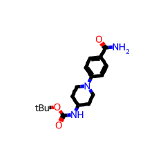 CC(C)(C)OC(=O)NC1CCN(c2ccc(C(N)=O)cc2)CC1